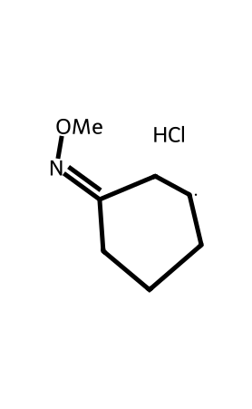 CON=C1C[CH]CCC1.Cl